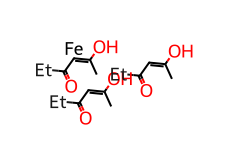 CCC(=O)/C=C(\C)O.CCC(=O)/C=C(\C)O.CCC(=O)/C=C(\C)O.[Fe]